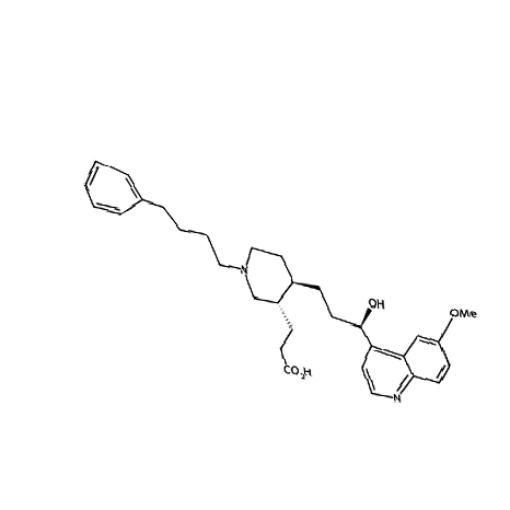 COc1ccc2nccc([C@H](O)CC[C@@H]3CCN(CCCCc4ccccc4)C[C@H]3CCC(=O)O)c2c1